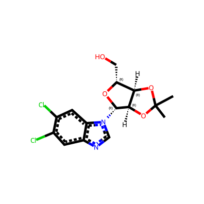 CC1(C)O[C@@H]2[C@H](O1)[C@@H](CO)O[C@H]2n1cnc2cc(Cl)c(Cl)cc21